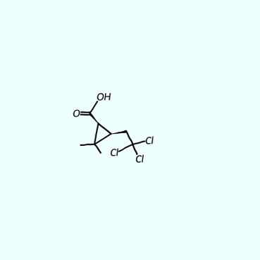 CC1(C)[C@H](CC(Cl)(Cl)Cl)[C@@H]1C(=O)O